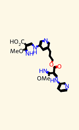 COC(=N)/C(=C\Nc1cncc(CCCOC(=O)/C(=C/Nc2cccnc2)C(=N)OC)c1)C(=O)O